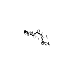 CCCC(C)CCCC(C)CCCCC(C)CCCC(C)CCCNC(=O)Cc1ccco1